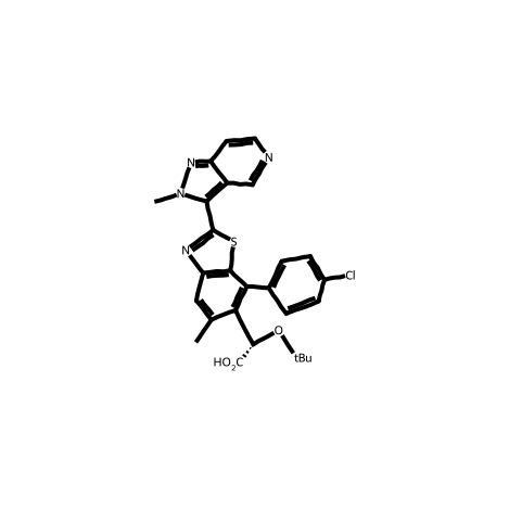 Cc1cc2nc(-c3c4cnccc4nn3C)sc2c(-c2ccc(Cl)cc2)c1[C@H](OC(C)(C)C)C(=O)O